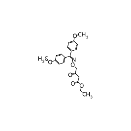 CCOC(=O)CC(=O)CON=C(c1ccc(OC)cc1)c1ccc(OC)cc1